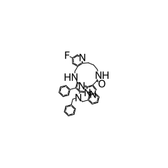 O=C1NCCCc2ncc(F)cc2CNc2nc3c1cnn3c(N(Cc1ccccc1)Cc1ccccc1)c2-c1ccccc1